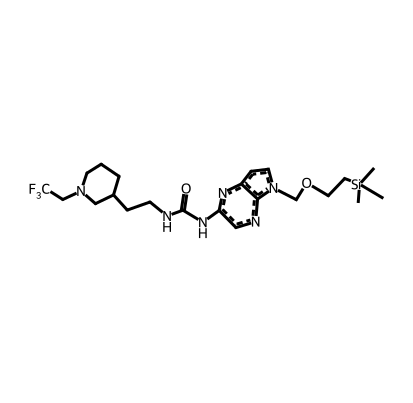 C[Si](C)(C)CCOCn1ccc2nc(NC(=O)NCCC3CCCN(CC(F)(F)F)C3)cnc21